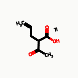 C=CCC(C(C)=O)C(=O)O.[Ti]